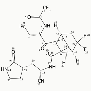 CC(C)C[C@H](NC(=O)C(F)(F)F)C(=O)N1[C@H]2CC[C@@H]([C@H]1C(=O)N[C@H](C#N)C[C@@H]1CCNC1=O)C(F)(F)C2